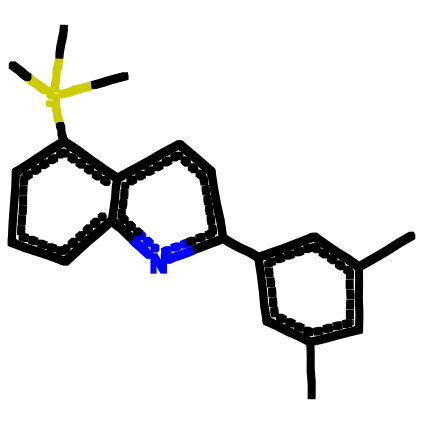 Cc1cc(C)cc(-c2ccc3c(S(C)(C)C)cccc3n2)c1